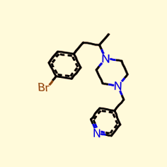 CC(Cc1ccc(Br)cc1)N1CCN(Cc2ccncc2)CC1